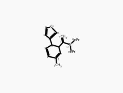 C=C(C1C=C(C)C=CC1c1ccsc1)N(CCC)CCC